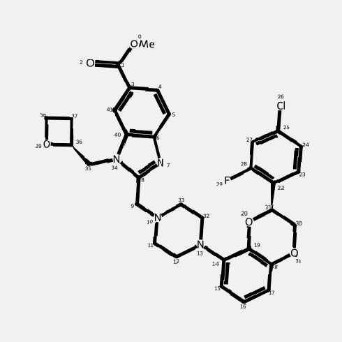 COC(=O)c1ccc2nc(CN3CCN(c4cccc5c4O[C@@H](c4ccc(Cl)cc4F)CO5)CC3)n(C[C@@H]3CCO3)c2c1